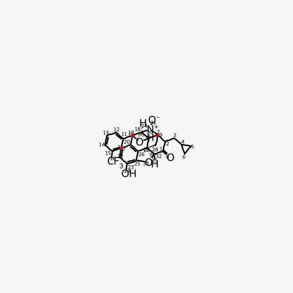 O=C1C(CC2CC2)CC2(OCc3cccc(C(F)(F)F)c3)[C@H]3Cc4ccc(O)c5c4[C@@]2(CC[NH+]3[O-])[C@H]1O5